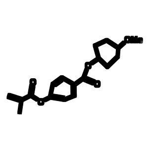 C=C(C)C(=O)Oc1ccc(C(=O)OC2CCC(OC)CC2)cc1